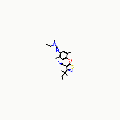 CCN(C)C=Nc1cc(C)c(Oc2snc(C(C)(C)CC)c2C#N)cc1C